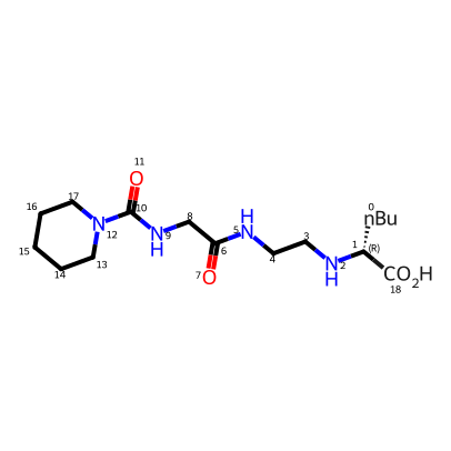 CCCC[C@@H](NCCNC(=O)CNC(=O)N1CCCCC1)C(=O)O